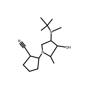 CC1C(O)C(N(C)C(C)(C)C)CN1C1CCCC1C#N